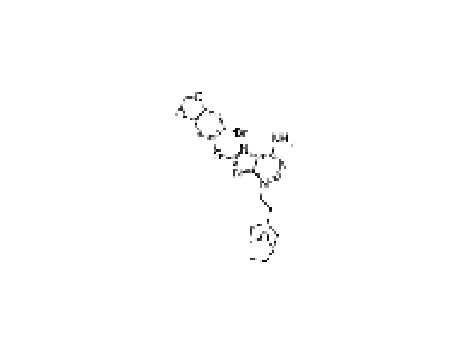 Nc1ncn(CCC2CC3CCC(C2)O3)c2nc(Sc3cc4c(cc3Br)OCO4)nc1-2